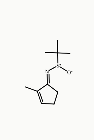 CC1=CCCC1=N[S+]([O-])C(C)(C)C